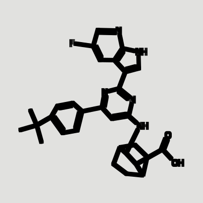 CC(C)(C)c1ccc(-c2cc(NC3C4CCC(CC4)C3C(=O)O)nc(-c3c[nH]c4ncc(F)cc34)n2)cc1